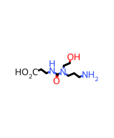 NCCCN(CCO)C(=O)NCCC(=O)O